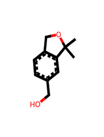 CC1(C)OCc2ccc(CO)cc21